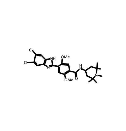 COc1cc(-c2nc3cc(Cl)c(Cl)cc3[nH]2)c(OC)cc1C(=O)NC1CC(C)(C)N(C)C(C)(C)C1